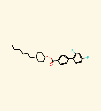 CCCCCC[C@H]1CC[C@H](OC(=O)c2ccc(-c3ccc(F)cc3F)cc2)CC1